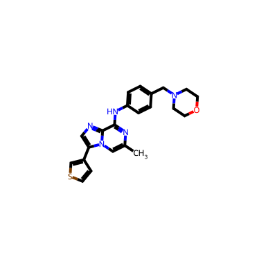 Cc1cn2c(-c3ccsc3)cnc2c(Nc2ccc(CN3CCOCC3)cc2)n1